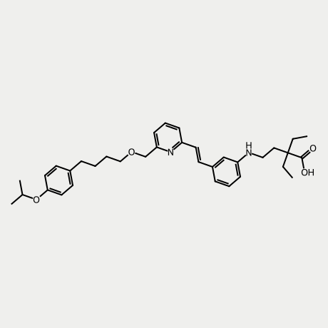 CCC(CC)(CCNc1cccc(C=Cc2cccc(COCCCCc3ccc(OC(C)C)cc3)n2)c1)C(=O)O